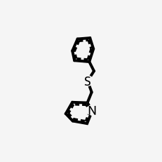 c1ccc(CSCc2ccccn2)cc1